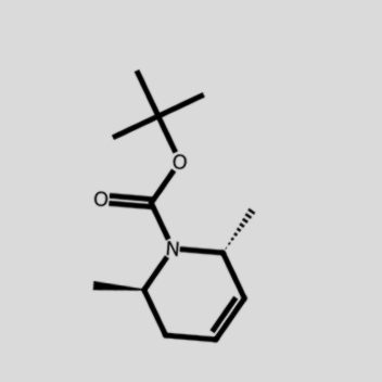 C[C@@H]1C=CC[C@@H](C)N1C(=O)OC(C)(C)C